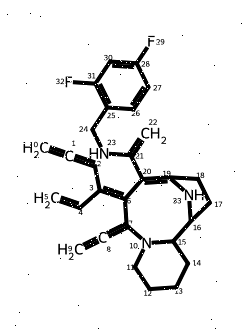 C=C=C/C(C=C)=C1C(=C=C)N2CCCCC2C2CC/C(=C/1C(=C)NCc1ccc(F)cc1F)N2